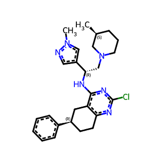 C[C@H]1CCCN(C[C@H](Nc2nc(Cl)nc3c2C[C@H](c2ccccc2)CC3)c2cnn(C)c2)C1